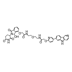 O=C(COc1ccc(-c2ccc3c(c2)[nH]c2ccncc23)cn1)NCCOCCNC(=O)COc1cccc2c1C(O)N(C1CCC(=O)NC1=O)C2=O